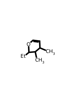 CCC1OC=CC(C)C1C